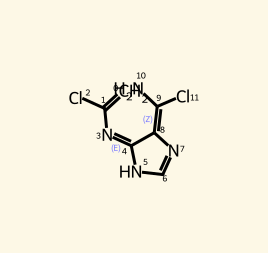 C=C(Cl)/N=C1/NC=N/C1=C(/N)Cl